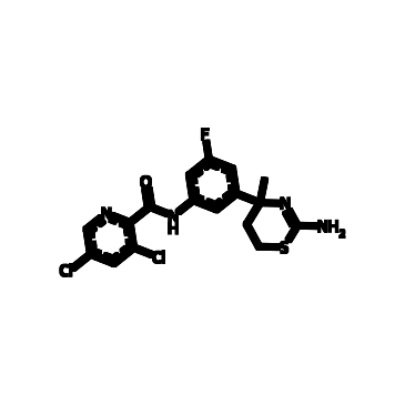 CC1(c2cc(F)cc(NC(=O)c3ncc(Cl)cc3Cl)c2)CCSC(N)=N1